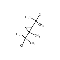 CC(C)(Cl)C1CC1(C)C(C)(C)Cl